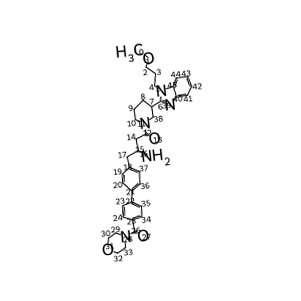 COCCCn1c(C2CCCN(C(=O)CC(N)Cc3ccc(-c4ccc(C(=O)N5CCOCC5)cc4)cc3)C2)nc2ccccc21